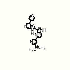 CN(C)c1cncc(-c2ccc3[nH]nc(-c4nc5c(-c6ccncc6)cncc5[nH]4)c3n2)c1